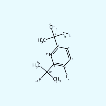 CC(C)(C)c1ccc(F)c(C(C)(C)F)n1